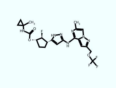 Cc1cn2nc(COC(F)(F)F)cc2c(Nc2cc([C@@H]3CC[C@H](OC(=O)NC4(C)CC4)[C@H]3F)[nH]n2)n1